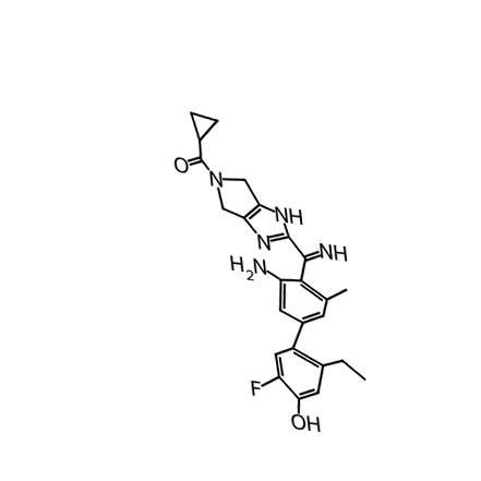 CCc1cc(O)c(F)cc1-c1cc(C)c(C(=N)c2nc3c([nH]2)CN(C(=O)C2CC2)C3)c(N)c1